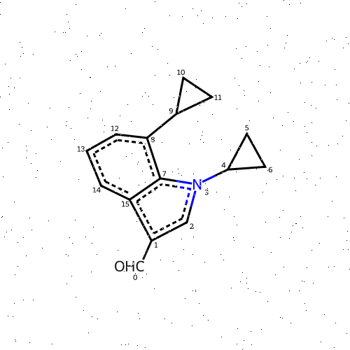 O=Cc1cn(C2CC2)c2c(C3CC3)cccc12